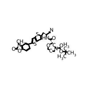 Cn1c(=O)oc2ccc(-c3cc4sc(C[C@@H](C#N)NC(=O)[C@@H]5CN(C(=O)OC(C)(C)C)CCCO5)cc4s3)cc21